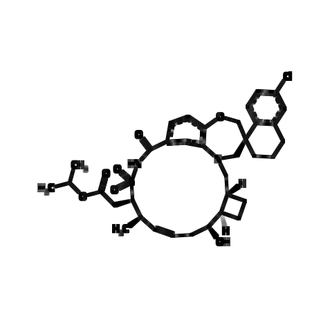 CC(C)OC(=O)C[C@@H]1[C@H](C)/C=C\C[C@H](O)[C@@H]2CC[C@H]2CN2C[C@@]3(CCCc4cc(Cl)ccc43)COc3ccc(cc32)C(=O)NS1(=O)=O